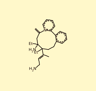 C=C1CC(N)(CC)C(CC)(/C(C)=C/CN)CCc2ccccc2-c2cccc[n+]21